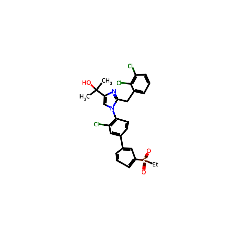 CCS(=O)(=O)c1cccc(-c2ccc(-n3cc(C(C)(C)O)nc3Cc3cccc(Cl)c3Cl)c(Cl)c2)c1